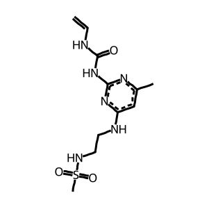 C=CNC(=O)Nc1nc(C)cc(NCCNS(C)(=O)=O)n1